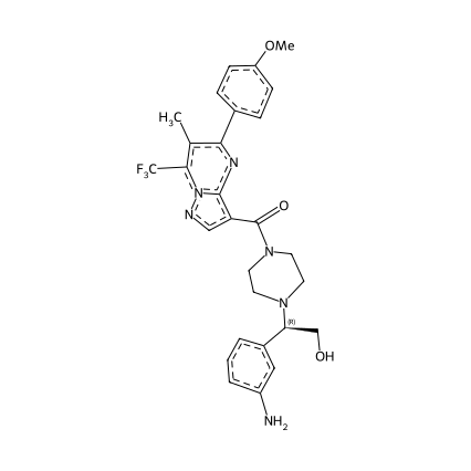 COc1ccc(-c2nc3c(C(=O)N4CCN([C@@H](CO)c5cccc(N)c5)CC4)cnn3c(C(F)(F)F)c2C)cc1